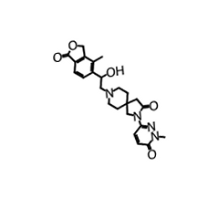 Cc1c(C(O)CN2CCC3(CC2)CC(=O)N(c2ccc(=O)n(C)n2)C3)ccc2c1COC2=O